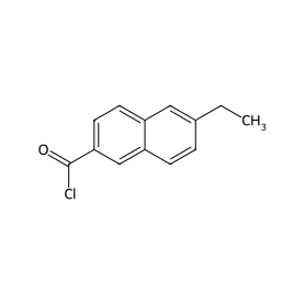 CCc1ccc2cc(C(=O)Cl)ccc2c1